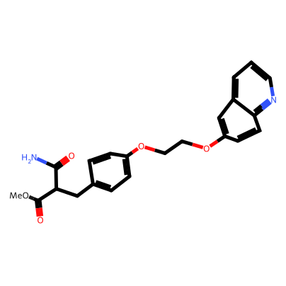 COC(=O)C(Cc1ccc(OCCOc2ccc3ncccc3c2)cc1)C(N)=O